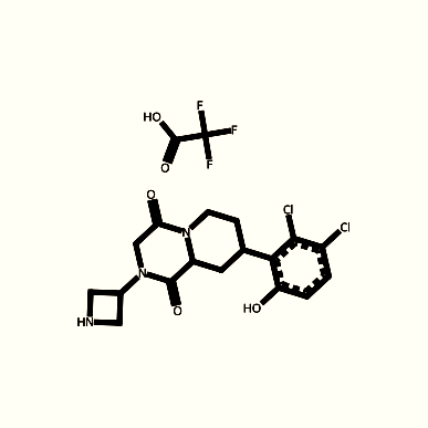 O=C(O)C(F)(F)F.O=C1C2CC(c3c(O)ccc(Cl)c3Cl)CCN2C(=O)CN1C1CNC1